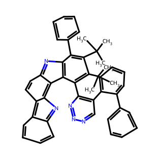 CC(C)(C)c1c(-c2ccccc2)c2c(c(-c3nnncc3-c3ccccc3-c3ccccc3)c1C(C)(C)C)-c1c3c(ccc1=N2)=c1ccccc1=N3